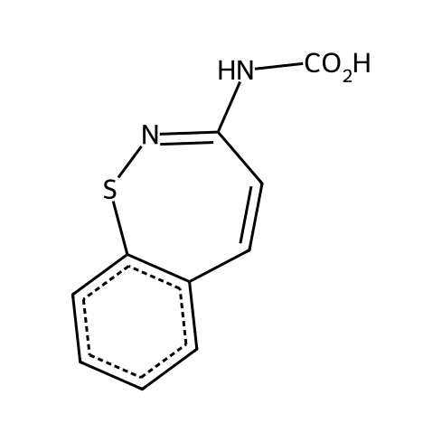 O=C(O)NC1=NSc2ccccc2C=C1